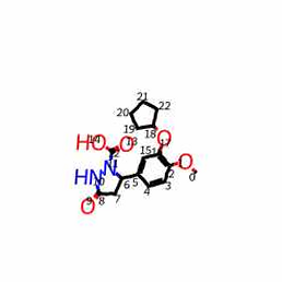 COc1ccc(C2CC(=O)NN2C(=O)O)cc1OC1CCCC1